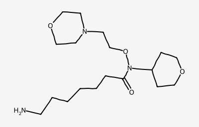 NCCCCCCC(=O)N(OCCN1CCOCC1)C1CCOCC1